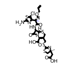 C=CCO/N=C(/C(=O)NC1C(=O)N2C(C(=O)O)=C(CSC3=N[C@@](C)(CC(=O)O)CS3)CS[C@H]12)c1nc(N)sc1Cl